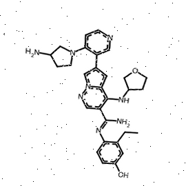 CCc1cc(O)ccc1/N=C(\N)c1cnn2cc(-c3cnccc3N3CCC(N)C3)cc2c1NC1CCOC1